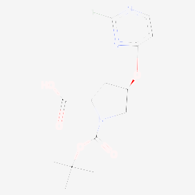 CC(C)(C)OC(=O)N1C[C@H](Oc2ccnc(Cl)n2)C[C@H]1C(=O)O